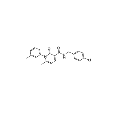 Cc1cccc(-n2c(C)ccc(C(=O)NCc3ccc(Cl)cc3)c2=O)c1